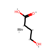 O=C(O)CCCO.[Mn]